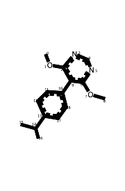 COc1ncnc(OC)c1-c1ccc(C(C)C)cc1